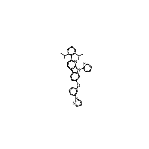 CC(C)c1cccc(C(C)C)c1-c1ccc2c3ccc(Oc4cccc(-n5cccn5)c4)cc3n(-c3ccccn3)c2n1